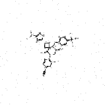 N#Cc1ccc(N2CC(=O)N(Cc3ccc(C(F)(F)F)cc3)[C@]3(C[C@@H](c4nc(C(F)F)no4)C3)C2=O)c(F)c1